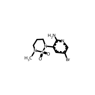 CN1CCCN(c2cc(Br)cnc2N)S1(=O)=O